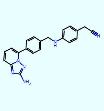 N#CCc1ccc(NCc2ccc(-c3cccc4nc(N)nn34)cc2)cc1